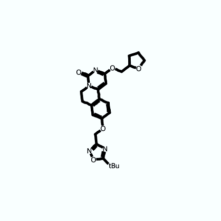 CC(C)(C)c1nc(COc2ccc3c(c2)CCn2c-3cc(OCC3CCCO3)nc2=O)no1